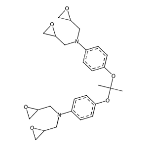 CC(C)(Oc1ccc(N(CC2CO2)CC2CO2)cc1)Oc1ccc(N(CC2CO2)CC2CO2)cc1